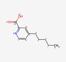 CCCCCc1ccnc(C(=O)O)c1